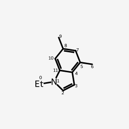 CCn1ccc2c(C)cc(C)cc21